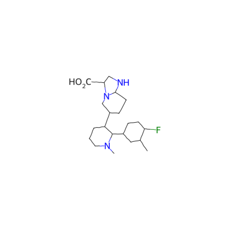 CC1CC(C2C(C3CCC4NCC(C(=O)O)N4C3)CCCN2C)CCC1F